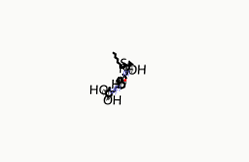 C=C1/C(=C\C=C2/CCC[C@]3(C)[C@@H](C(C)(C)/C=C/[C@H](O)C4(c5ncc(CCCCC)s5)CC4)CC[C@@H]23)C[C@@H](O)C[C@@H]1O